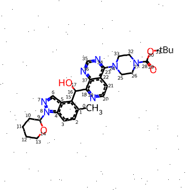 Cc1ccc2c(cnn2C2CCCCO2)c1C(O)c1nccc2c(N3CCN(C(=O)OC(C)(C)C)CC3)ncnc12